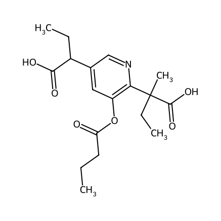 CCCC(=O)Oc1cc(C(CC)C(=O)O)cnc1C(C)(CC)C(=O)O